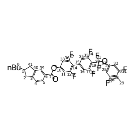 CCCCC1Cc2ccc(C(=O)Oc3cc(F)c(-c4cc(F)c(C(F)(F)Oc5cc(F)c(C)c(F)c5)c(F)c4)c(F)c3)cc2C1